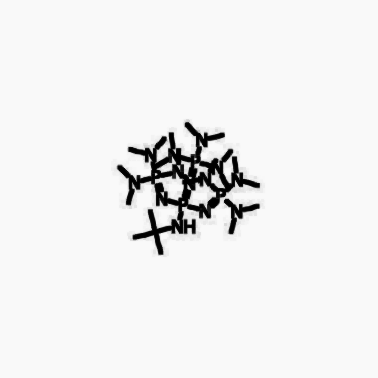 CN(C)P(=NP(N=P(N(C)C)(N(C)C)N(C)C)(=[N+]=P(N(C)C)(N(C)C)N(C)C)NC(C)(C)C)(N(C)C)N(C)C